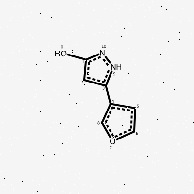 Oc1cc(-c2ccoc2)[nH]n1